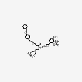 CCN(CC)CCN(CCNCCc1ccc(O)c2[nH]c(=O)sc12)C(=O)CCOCCc1ccc(OCc2ccccc2)cc1